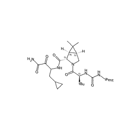 CCCC(C)NC(=O)N[C@H](C(=O)N1C[C@H]2[C@@H]([C@H]1C(=O)NC(CC1CC1)C(=O)C(N)=O)C2(C)C)C(C)(C)C